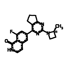 C[C@H]1CCN1c1nc2c(c(-c3cc(F)c4c(=O)[nH]ccc4c3)n1)CCC2